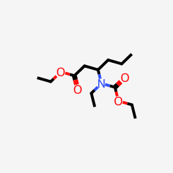 CCCC(CC(=O)OCC)N(CC)C(=O)OCC